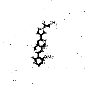 C=CC(=O)N1CCC(c2cc3cnc(-c4c(F)cccc4OC)cc3cn2)C1